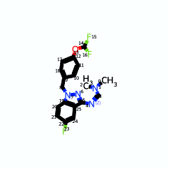 CN(C)/C=N\c1nn(Cc2ccc(OC(F)F)cc2)c2ccc(F)cc12